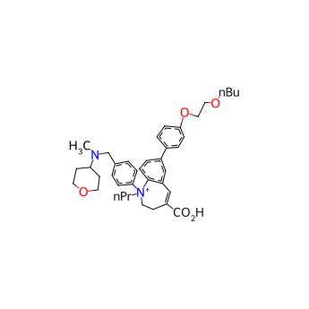 CCCCOCCOc1ccc(-c2ccc3c(c2)C=C(C(=O)O)CC[N+]3(CCC)c2ccc(CN(C)C3CCOCC3)cc2)cc1